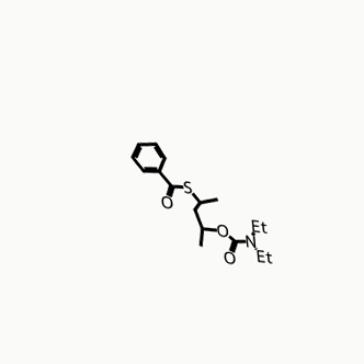 CCN(CC)C(=O)OC(C)CC(C)SC(=O)c1ccccc1